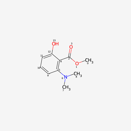 COC(=O)c1c(N(C)C)[c]ccc1O